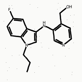 CCCn1cc(Nc2cnccc2CO)c2cc(F)ccc21